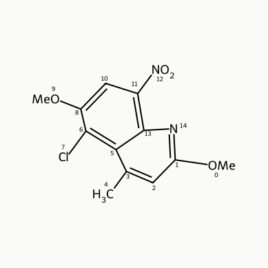 COc1cc(C)c2c(Cl)c(OC)cc([N+](=O)[O-])c2n1